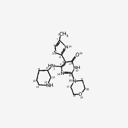 Cc1csc(-c2c(NC3CCCNC3)nc(N3CCOCC3)[nH]c2=O)n1